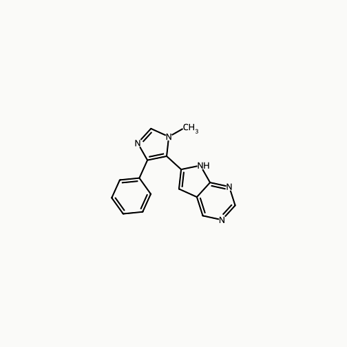 Cn1cnc(-c2ccccc2)c1-c1cc2cncnc2[nH]1